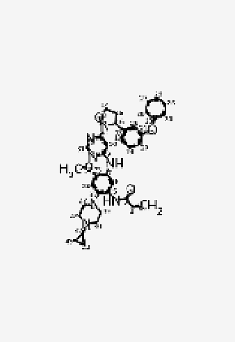 C=CC(=O)Nc1cc(Nc2cc(N3OCCC3c3cccc(Oc4ccccc4)c3)ncn2)c(OC)cc1N1CCN(C2CC2)CC1